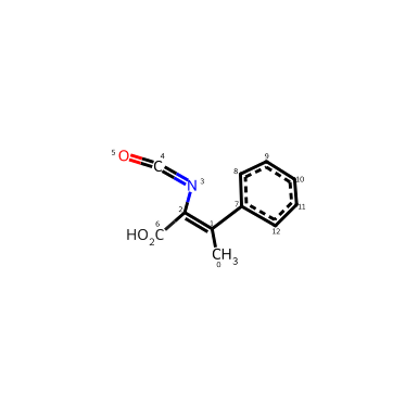 C/C(=C(/N=C=O)C(=O)O)c1ccccc1